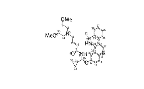 COCCN(CC=CC(=O)NC(Oc1ccc2ncnc(N[C@H](C)c3ccccc3)c2c1)C1CC1)CCOC